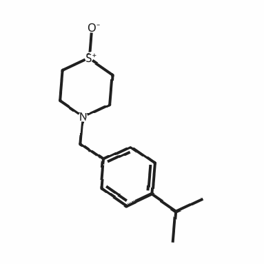 CC(C)c1ccc(CN2CC[S+]([O-])CC2)cc1